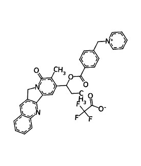 CCC(OC(=O)c1ccc(C[n+]2ccccc2)cc1)c1cc2n(c(=O)c1C)Cc1cc3ccccc3nc1-2.O=C([O-])C(F)(F)F